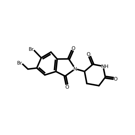 O=C1CCC(N2C(=O)c3cc(Br)c(CBr)cc3C2=O)C(=O)N1